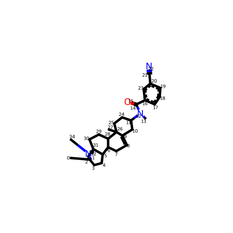 CC1C2CCC3C4CC=C5CC(N(C)C(=O)c6cccc(C#N)c6)CCC5(C)C4CCC32CN1C